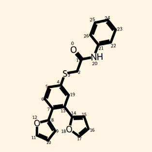 O=C(CSc1ccc(-c2ccco2)c(-c2ccco2)c1)Nc1ccccc1